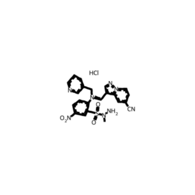 CN(N)S(=O)(=O)c1cc([N+](=O)[O-])ccc1[N+](=Cc1cnn2ccc(C#N)cc12)Cc1cccnc1.Cl